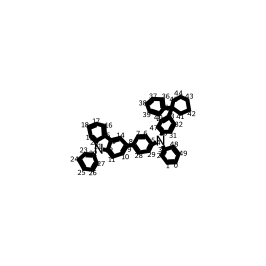 c1ccc(N(c2ccc(-c3ccc4c(c3)c3ccccc3n4-c3ccccc3)cc2)c2ccc(C3(c4ccccc4)CCCCC3)cc2)cc1